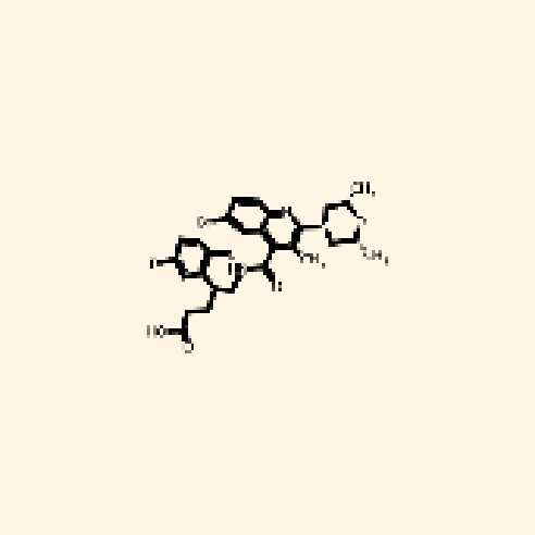 Cc1c(N2C[C@@H](C)O[C@@H](C)C2)nc2ccc(Br)cc2c1C(=O)NCC(CCC(=O)O)c1cc(F)ccc1Cl